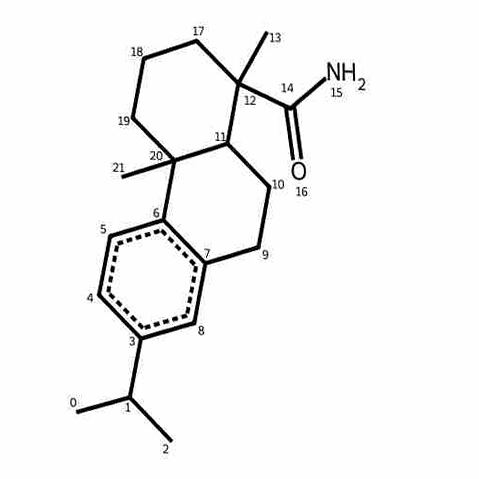 CC(C)c1ccc2c(c1)CCC1C(C)(C(N)=O)CCCC21C